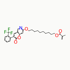 C=C(C)C(=O)OCCCCCCCCCCOc1cc2oc(=O)c(-c3ccccc3C(F)(F)F)cc2cn1